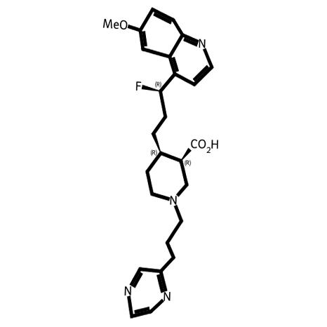 COc1ccc2nccc([C@H](F)CC[C@@H]3CCN(CCCc4cnccn4)C[C@@H]3C(=O)O)c2c1